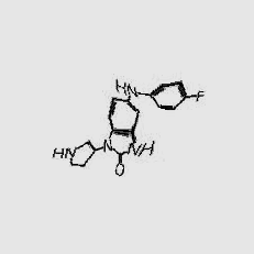 O=c1[nH]c2cc(Nc3ccc(F)cc3)ccc2n1C1CCNC1